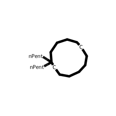 CCCCCC1(CCCCC)CCCCCCCCCCC1